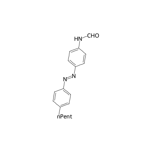 CCCCCc1ccc(N=Nc2ccc(NC=O)cc2)cc1